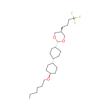 CCCCCCO[C@H]1CC[C@H](C2CCC([C@H]3OC[C@H](CCCC(F)(F)F)CO3)CC2)CC1